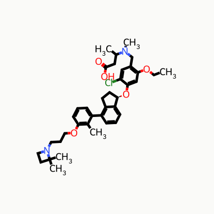 CCOc1cc(O[C@H]2CCc3c(-c4cccc(OCCCN5CCC5(C)C)c4C)cccc32)c(Cl)cc1CN(C)C(C)CC(=O)O